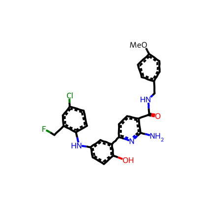 COc1ccc(CNC(=O)c2ccc(-c3cc(Nc4ccc(Cl)cc4CF)ccc3O)nc2N)cc1